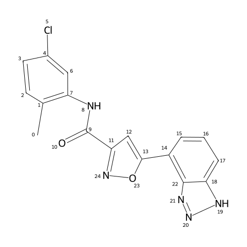 Cc1ccc(Cl)cc1NC(=O)c1cc(-c2cccc3[nH]nnc23)on1